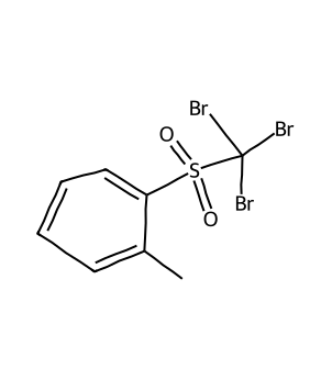 Cc1ccccc1S(=O)(=O)C(Br)(Br)Br